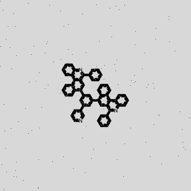 c1ccc(-c2nc3ccccc3c3c2cc(-c2cc(-c4cccnc4)cc(-c4cc5c(-c6ccccc6)nc6ccccc6c5c5ccccc45)c2)c2ccccc23)cc1